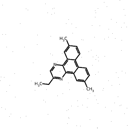 CCc1cnc2c3cc(C)ccc3c3ccc(C)cc3c2n1